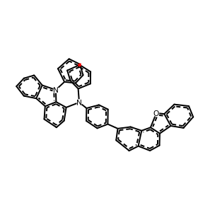 c1ccc(N(c2ccc(-c3ccc4ccc5c6ccccc6oc5c4c3)cc2)c2cccc3c4ccccc4n(-c4ccccc4)c23)cc1